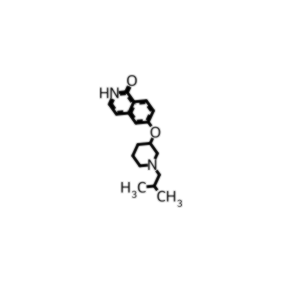 CC(C)CN1CCCC(Oc2ccc3c(=O)[nH]ccc3c2)C1